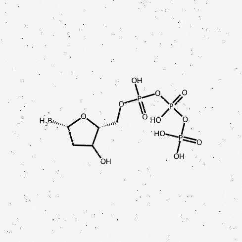 B[C@H]1CC(O)[C@@H](COP(=O)(O)OP(=O)(O)OP(=O)(O)O)O1